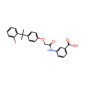 CC(C)(c1ccc(OCC(=O)Nc2cccc(C(=O)O)c2)cc1)c1ccccc1I